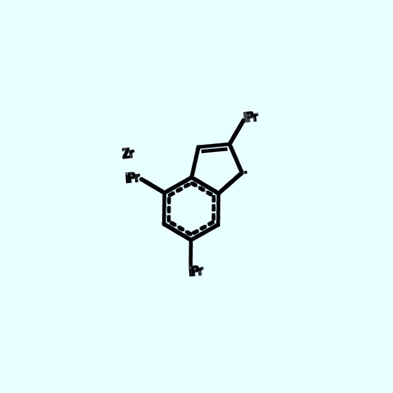 CC(C)C1=Cc2c(cc(C(C)C)cc2C(C)C)[CH]1.[Zr]